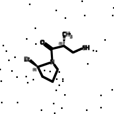 CC[C@@H]1CCCN1C(=O)[C@H](C)CS